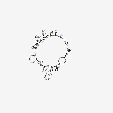 NC(=O)[C@@H]1CCNC(=O)/C=C\COCN[C@H]2CC[C@H](CC2)C(=O)N[C@@H](Cc2ccco2)C(=O)NCc2ccccc2CC(=O)N1